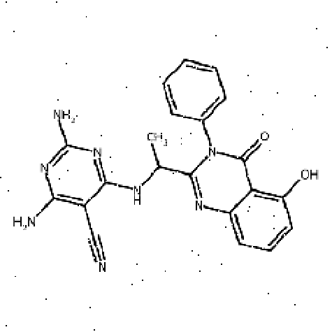 CC(Nc1nc(N)nc(N)c1C#N)c1nc2cccc(O)c2c(=O)n1-c1ccccc1